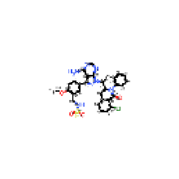 COc1ccc(-c2nn(C(C)c3cc4cccc(Cl)c4c(=O)n3-c3ccccc3)c3ncnc(N)c23)cc1CN[SH](=O)=O